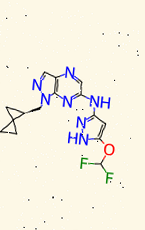 FC(F)Oc1cc(Nc2cnc3cnn(C[C@@H]4CC45CC5)c3n2)n[nH]1